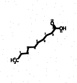 CCCCC[CH]CCCC(=O)O